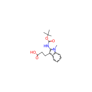 Cn1c(NC(=O)OC(C)(C)C)c(CCC(=O)O)c2ccccc21